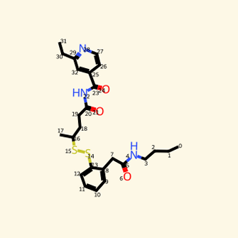 CCCCNC(=O)Cc1ccccc1SSC(C)CCC(=O)NC(=O)c1ccnc(CC)c1